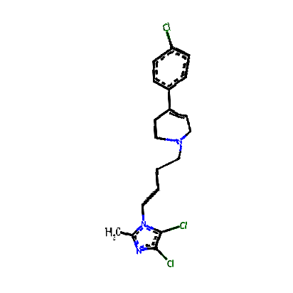 Cc1nc(Cl)c(Cl)n1CCCCN1CC=C(c2ccc(Cl)cc2)CC1